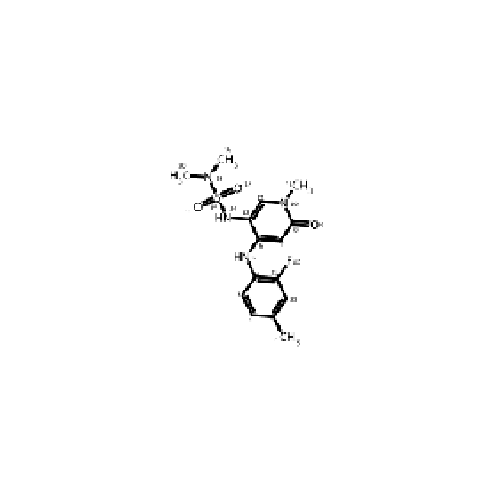 Cc1ccc(Nc2cc(=O)n(C)cc2NS(=O)(=O)N(C)C)c(F)c1